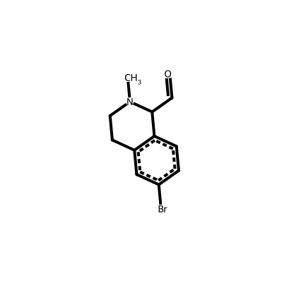 CN1CCc2cc(Br)ccc2C1C=O